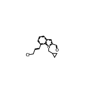 O=Cc1cc2cccc(C=CCCl)c2n1CC1CC1